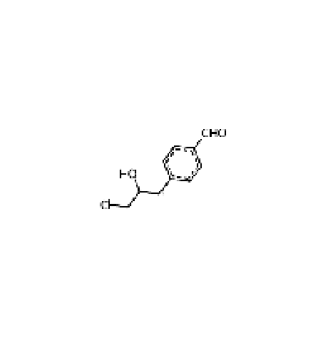 O=Cc1ccc([CH]C(O)CCl)cc1